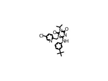 CC(C)n1c(=O)nc(Nc2cccc(C(C)(C)C)c2)n(Cc2ccc(Cl)cn2)c1=O